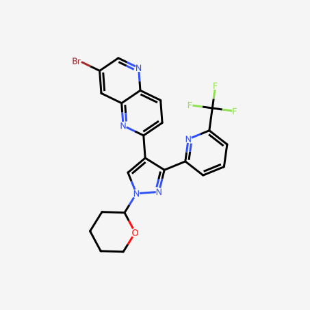 FC(F)(F)c1cccc(-c2nn(C3CCCCO3)cc2-c2ccc3ncc(Br)cc3n2)n1